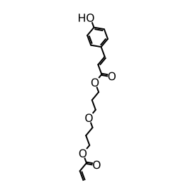 C=CC(=O)OCCCOCCCOC(=O)/C=C/c1ccc(O)cc1